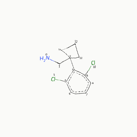 NCC1(c2c(Cl)cccc2Cl)CCC1